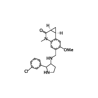 COc1cc2c(cc1CNC1CCNC1c1cccc(Cl)c1)N(C)C(=O)[C@H]1C[C@@H]21